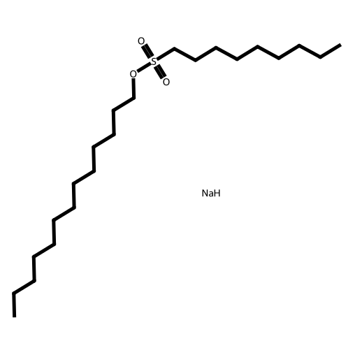 CCCCCCCCCCCCCOS(=O)(=O)CCCCCCCCC.[NaH]